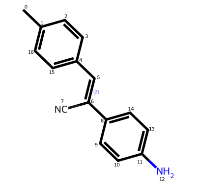 Cc1ccc(/C=C(\C#N)c2ccc(N)cc2)cc1